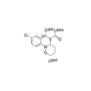 COC(=O)C(C(=O)OC)[C@H]1CC[C@H](OC)ON1c1ccc(Cl)cc1